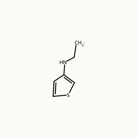 [CH2]CNc1ccsc1